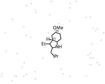 CCC1C(CC(C)C)NC2CC[C@@H](OC)C[C@H]21